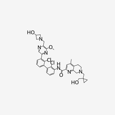 COc1nc(-c2cccc(-c3cccc(NC(=O)c4cc(C)c5c(n4)CN(CC4(CO)CC4)CC5)c3Cl)c2Cl)cnc1CN1CC(O)C1